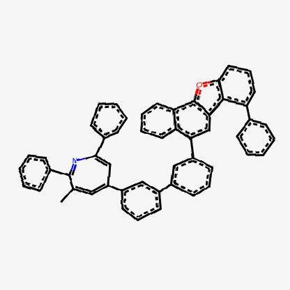 CC1=C=C(c2cccc(-c3cccc(-c4cc5c(oc6cccc(-c7ccccc7)c65)c5ccccc45)c3)c2)C=C(c2ccccc2)N=C1c1ccccc1